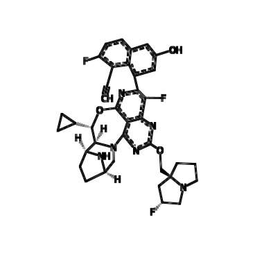 C#Cc1c(F)ccc2cc(O)cc(-c3nc4c5c(nc(OC[C@@]67CCCN6C[C@H](F)C7)nc5c3F)N3C[C@H]5CC[C@H](N5)[C@H]3[C@H](C3CC3)O4)c12